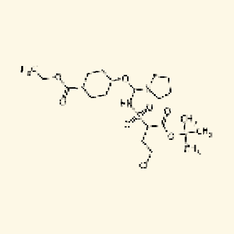 CCOC(=O)[C@H]1CC[C@H](OC(NS(=O)(=O)C(CCCl)C(=O)OC(C)(C)C)N2CCCC2)CC1